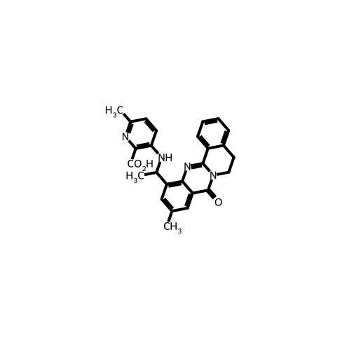 Cc1cc(C(C)Nc2ccc(C)nc2C(=O)O)c2nc3n(c(=O)c2c1)CCc1ccccc1-3